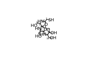 O=C(CS)NC(CO)C(=O)NC(CO)C(=O)NC(CO)C(=O)O